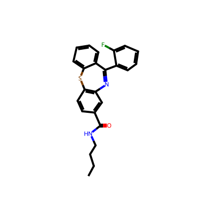 CCCCNC(=O)c1ccc2c(c1)N=C(c1ccccc1F)c1ccccc1S2